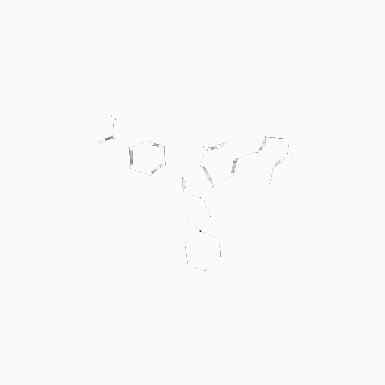 Cc1noc(C)c1-c1cnc2c(-c3ccc(C(N)=O)cc3)cn(CC3(F)CCCCC3)c2c1